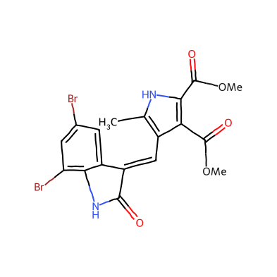 COC(=O)c1[nH]c(C)c(C=C2C(=O)Nc3c(Br)cc(Br)cc32)c1C(=O)OC